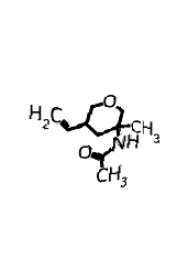 C=CC1COCC(C)(NC(C)=O)C1